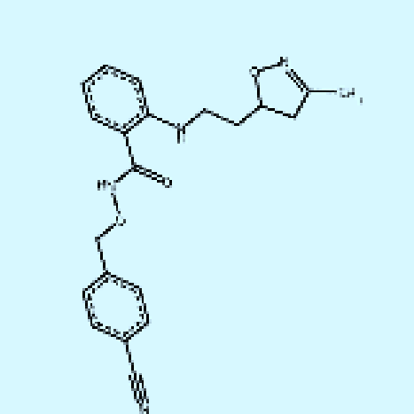 CC1=NOC(CCNc2ccccc2C(=O)NOCc2ccc(C#N)cc2)C1